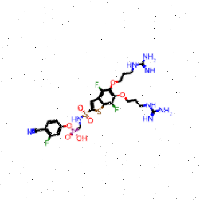 N#Cc1ccc(OP(=O)(O)CNS(=O)(=O)c2cc3c(F)c(OCCCNC(=N)N)c(OCCCNC(=N)N)c(F)c3s2)cc1F